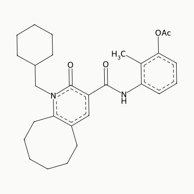 CC(=O)Oc1cccc(NC(=O)c2cc3c(n(CC4CCCCC4)c2=O)CCCCCC3)c1C